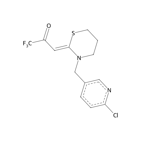 O=C(C=C1SCCCN1Cc1ccc(Cl)nc1)C(F)(F)F